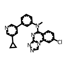 CN(c1cccc(-c2cncc(C3CC3)c2)c1)c1nc2nncn2c2cc(Cl)ccc12